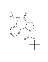 CC(C)(C)OC(=O)N1CCC(C(=O)O)C1c1ccccc1SC1CC1